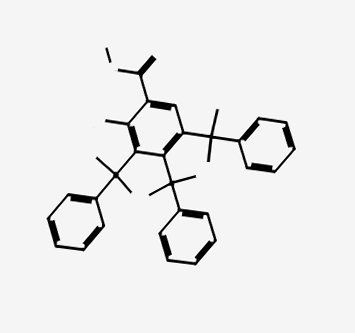 CC(C)OC(=O)c1cc(C(C)(C)c2ccccc2)c(C(C)(C)c2ccccc2)c(C(C)(C)c2ccccc2)c1C(=O)O